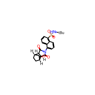 CC(C)(C)NS(=O)(=O)c1cccc2c(N3C(=O)[C@@H]4[C@H]5CC[C@H](C(=O)C5)[C@@H]4C3=O)cccc12